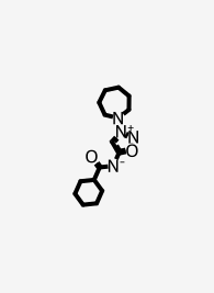 O=C([N-]c1c[n+](N2CCCCCC2)no1)C1CCCCC1